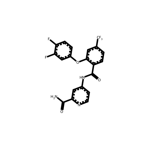 NC(=O)c1cc(NC(=O)c2ccc(C(F)(F)F)cc2Oc2ccc(F)c(F)c2)ccn1